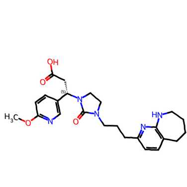 COc1ccc([C@H](CC(=O)O)N2CCN(CCCc3ccc4c(n3)NCCCC4)C2=O)cn1